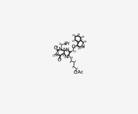 CC(=O)OCCCCCc1nc2c(=O)n(C)c(=O)n(CC(C)C)c2nc1COc1cncc2ccccc12